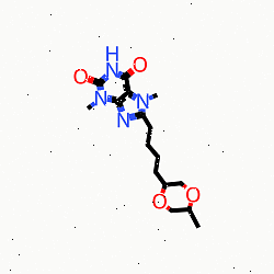 CC1COC(CCCCc2nc3c(c(=O)[nH]c(=O)n3C)n2C)CO1